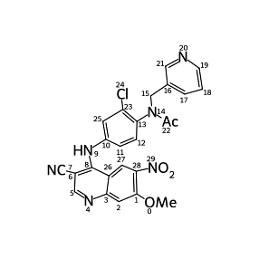 COc1cc2ncc(C#N)c(Nc3ccc(N(Cc4cccnc4)C(C)=O)c(Cl)c3)c2cc1[N+](=O)[O-]